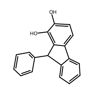 Oc1ccc2c(c1O)C(c1ccccc1)c1ccccc1-2